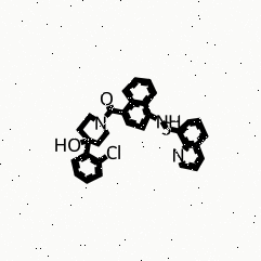 O=C(c1ccc(NSc2cccc3cccnc23)c2ccccc12)N1CCC(O)(c2ccccc2Cl)CC1